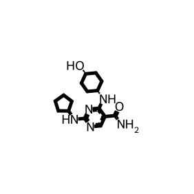 NC(=O)c1cnc(NC2CCCC2)nc1N[C@H]1CC[C@@H](O)CC1